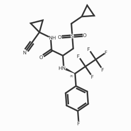 N#CC1(NC(=O)C(CS(=O)(=O)CC2CC2)N[C@H](c2ccc(F)cc2)C(F)(F)C(F)(F)F)CC1